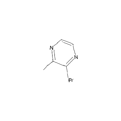 Cc1nccnc1C(C)C